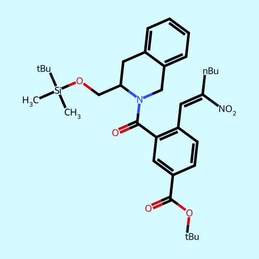 CCCCC(=Cc1ccc(C(=O)OC(C)(C)C)cc1C(=O)N1Cc2ccccc2CC1CO[Si](C)(C)C(C)(C)C)[N+](=O)[O-]